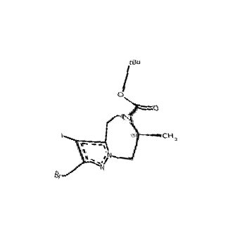 C[C@H]1Cn2nc(Br)c(I)c2CN1C(=O)OC(C)(C)C